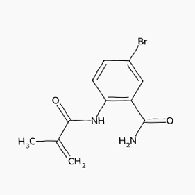 C=C(C)C(=O)Nc1ccc(Br)cc1C(N)=O